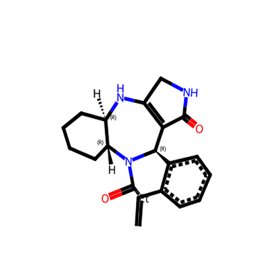 C=Cc1ccccc1[C@@H]1C2=C(CNC2=O)N[C@@H]2CCCC[C@H]2N1C(=O)CC